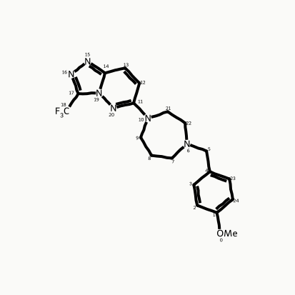 COc1ccc(CN2CCCN(c3ccc4nnc(C(F)(F)F)n4n3)CC2)cc1